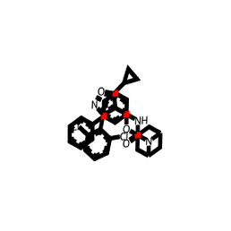 O=C(Nc1cccc(-c2ccccc2)c1)N1C2CC(OCc3c(-c4c(Cl)cccc4Cl)noc3C3CC3)CC1C2